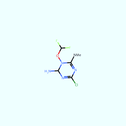 CNC1=NC(Cl)=NC(N)N1OC(F)F